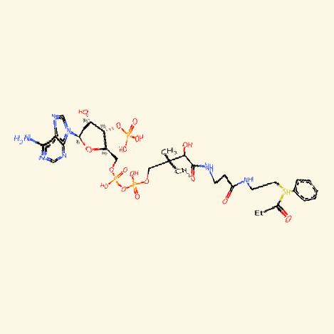 CCC(=O)[SH](CCNC(=O)CCNC(=O)C(O)C(C)(C)COP(=O)(O)OP(=O)(O)OC[C@H]1O[C@@H](n2cnc3c(N)ncnc32)[C@H](O)[C@@H]1OP(=O)(O)O)c1ccccc1